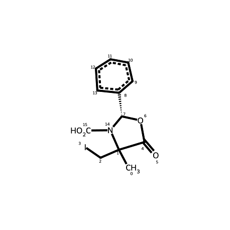 CC1(CI)C(=O)O[C@@H](c2ccccc2)N1C(=O)O